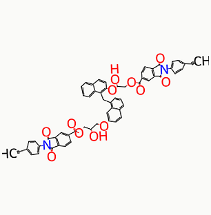 C#Cc1ccc(N2C(=O)c3ccc(C(=O)OCC(O)COc4ccc5cccc(Cc6c(OC(O)COC(=O)c7ccc8c(c7)C(=O)N(c7ccc(C#C)cc7)C8=O)ccc7ccccc67)c5c4)cc3C2=O)cc1